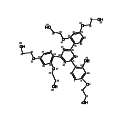 OCCOc1ccc(-c2nc(-c3ccc(OCCO)cc3OCCO)nc(-c3ccc(OCCO)cc3OCCO)n2)c(O)c1